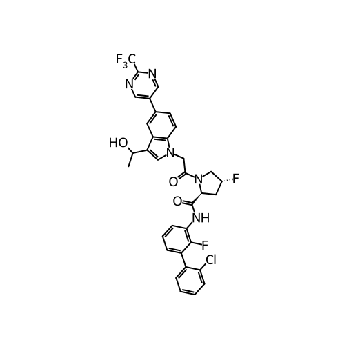 CC(O)c1cn(CC(=O)N2C[C@H](F)C[C@H]2C(=O)Nc2cccc(-c3ccccc3Cl)c2F)c2ccc(-c3cnc(C(F)(F)F)nc3)cc12